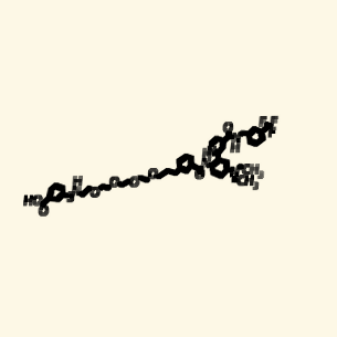 CCN(CC)c1ccc(NC(=O)c2cccc(CCCOCCOCCOCCOCCNSc3cccc(C(=O)O)c3)c2)c(-c2cc(C(=O)NCc3cccc(C(F)(F)F)c3)ccn2)c1